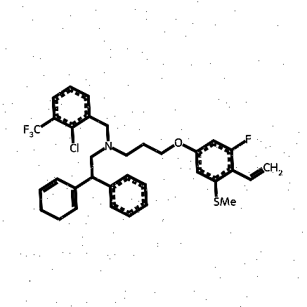 C=Cc1c(F)cc(OCCCN(Cc2cccc(C(F)(F)F)c2Cl)CC(C2=CCCC=C2)c2ccccc2)cc1SC